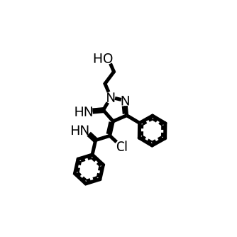 N=C(/C(Cl)=C1\C(=N)N(CCO)N=C1c1ccccc1)c1ccccc1